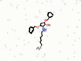 CCCCCCCN[C@@H]1[C@@H](O)[C@@H](OCc2ccccc2)C[C@H]1OCc1ccccc1